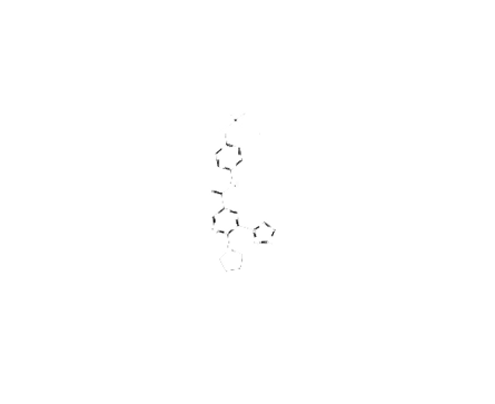 CC(C)(F)Oc1ccc(NC(=O)c2cnc(N3CCCC3)c(-c3ccn[nH]3)c2)cc1